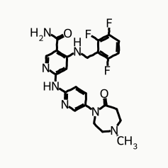 CN1CCC(=O)N(c2ccc(Nc3cc(NCc4c(F)ccc(F)c4F)c(C(N)=O)cn3)nc2)CC1